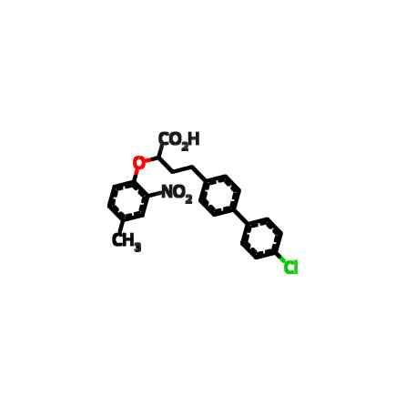 Cc1ccc(OC(CCc2ccc(-c3ccc(Cl)cc3)cc2)C(=O)O)c([N+](=O)[O-])c1